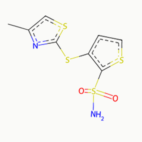 Cc1csc(Sc2ccsc2S(N)(=O)=O)n1